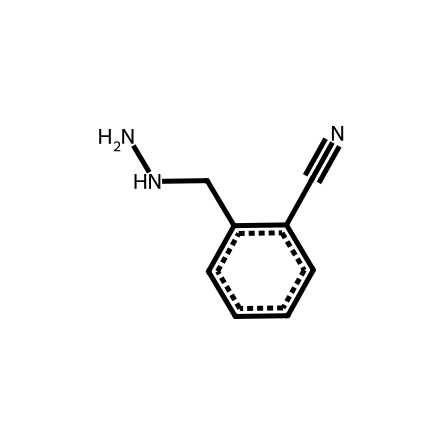 N#Cc1ccccc1CNN